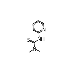 CN(C)C(=S)Nc1ccccn1